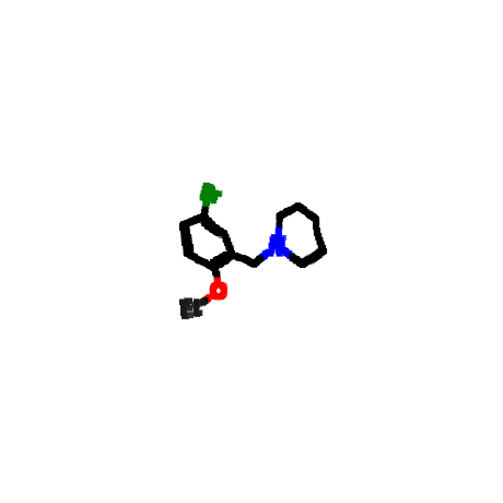 CCOc1ccc(Br)cc1CN1CCCCC1